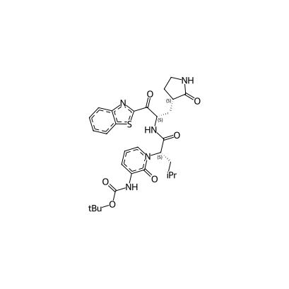 CC(C)C[C@@H](C(=O)N[C@@H](C[C@@H]1CCNC1=O)C(=O)c1nc2ccccc2s1)n1cccc(NC(=O)OC(C)(C)C)c1=O